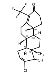 C[C@]12CC[C@H]3[C@@H](CCC4=C(C(F)(F)F)C(=O)CC[C@@H]43)[C@@H]1CC=C(Cl)C2O